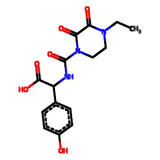 CCN1CCN(C(=O)NC(C(=O)O)c2ccc(O)cc2)C(=O)C1=O